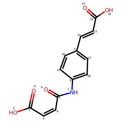 O=C(O)/C=C\C(=O)Nc1ccc(/C=C/C(=O)O)cc1